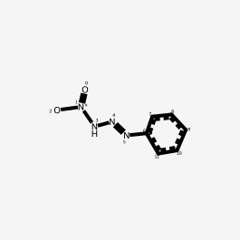 O=[N+]([O-])N/N=N/c1ccccc1